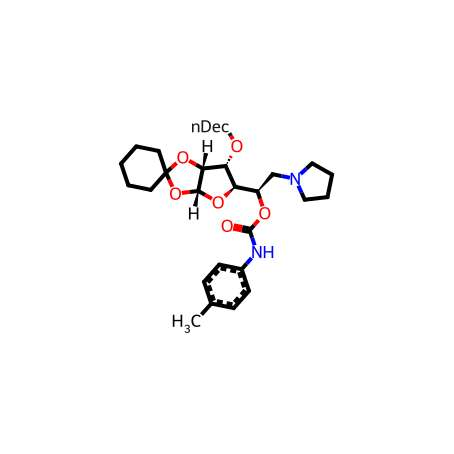 CCCCCCCCCCO[C@H]1[C@H]2OC3(CCCCC3)O[C@H]2O[C@@H]1[C@@H](CN1CCCC1)OC(=O)Nc1ccc(C)cc1